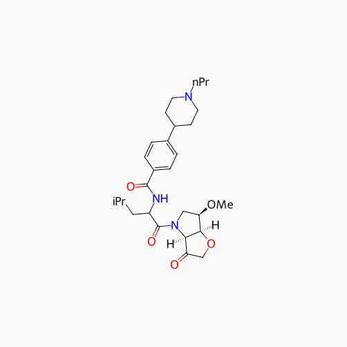 CCCN1CCC(c2ccc(C(=O)NC(CC(C)C)C(=O)N3C[C@@H](OC)[C@H]4OCC(=O)[C@H]43)cc2)CC1